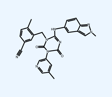 Cc1cncc(-n2c(=O)nc(Nc3ccc4nn(C)cc4c3)n(Cc3cc(C#N)ccc3C)c2=O)c1